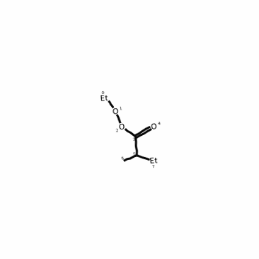 CCOOC(=O)C(C)CC